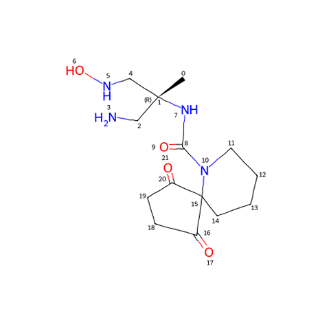 C[C@@](CN)(CNO)NC(=O)N1CCCCC12C(=O)CCC2=O